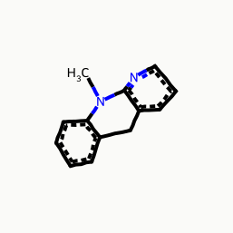 CN1c2ccccc2Cc2cccnc21